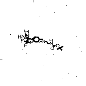 CC(C)(C)OC(=O)NCCNCc1ccc(C2(C(F)(F)F)NN2)cc1